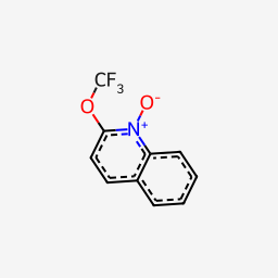 [O-][n+]1c(OC(F)(F)F)ccc2ccccc21